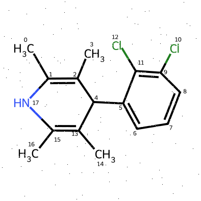 CC1=C(C)C(c2cccc(Cl)c2Cl)C(C)=C(C)N1